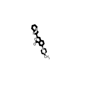 CN1CCN(c2ccc3cc(-c4cn5ccccc5n4)oc(=O)c3c2)CC1